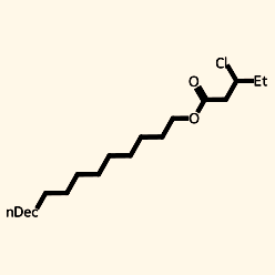 CCCCCCCCCCCCCCCCCCCOC(=O)CC(Cl)CC